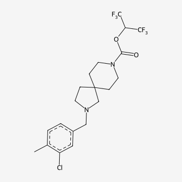 Cc1ccc(CN2CCC3(CCN(C(=O)OC(C(F)(F)F)C(F)(F)F)CC3)C2)cc1Cl